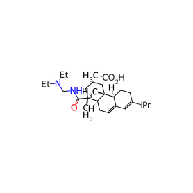 CC(=O)O.CCN(CC)CNC(=O)[C@]1(C)CCC[C@@]2(C)[C@H]1CC=C1C=C(C(C)C)CC[C@@H]12